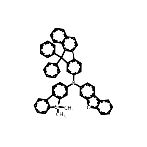 C[Si]1(C)c2ccccc2-c2ccc(N(c3ccc4c(c3)C(c3ccccc3)(c3ccccc3)c3c-4ccc4ccccc34)c3ccc4c(c3)oc3ccccc34)cc21